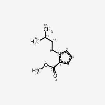 COC(=O)c1cccn1CCC(C)C